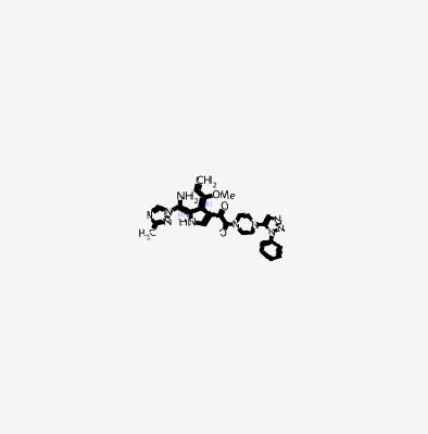 C=C/C(OC)=c1/c(C(=O)C(=O)N2CCN(c3cnnn3-c3ccccc3)CC2)c[nH]/c1=C(/N)n1cnc(C)n1